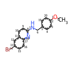 COc1ccc(CNc2ccc3cc(Br)ccc3n2)cc1